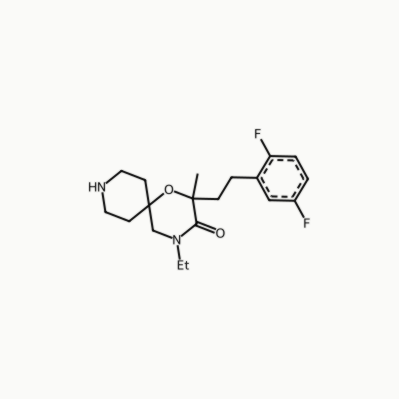 CCN1CC2(CCNCC2)OC(C)(CCc2cc(F)ccc2F)C1=O